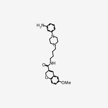 COc1ccc2c(c1)C=C(C(=O)NCCCCN1CCN(c3cccc(N)c3)CC1)CO2